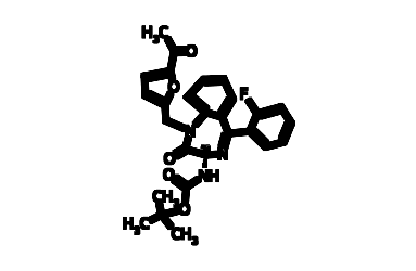 CC(=O)c1ccc(CN2C(=O)[C@@H](NC(=O)OC(C)(C)C)N=C(c3ccccc3F)c3ccccc32)o1